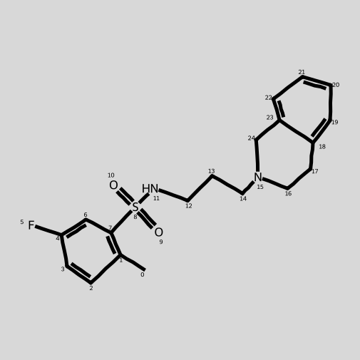 Cc1ccc(F)cc1S(=O)(=O)NCCCN1CCc2ccccc2C1